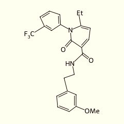 CCc1ccc(C(=O)NCCc2cccc(OC)c2)c(=O)n1-c1cccc(C(F)(F)F)c1